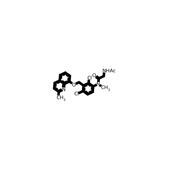 CC(=O)NCC(=O)N(C)c1ccc(Cl)c(COc2cccc3ccc(C)nc23)c1Cl